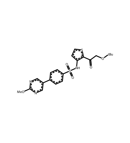 COc1ncc(-c2ccc(S(=O)(=O)Nc3ccsc3C(=O)COC(C)(C)C)cc2)cn1